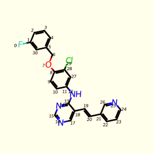 Fc1cccc(COc2ccc(Nc3ncncc3C=Cc3cccnc3)cc2Cl)c1